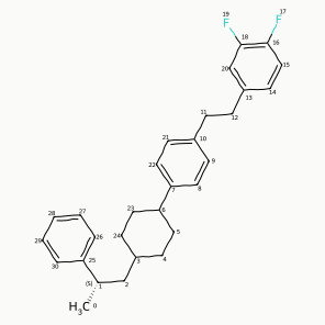 C[C@@H](CC1CCC(c2ccc(CCc3ccc(F)c(F)c3)cc2)CC1)c1ccccc1